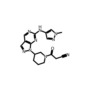 Cn1cc(Nc2ncc3cnn(C4CCCN(C(=O)CC#N)C4)c3n2)cn1